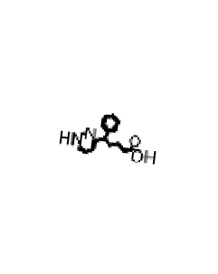 O=C(O)CCCC(C1=CC=CNC=N1)c1ccccc1